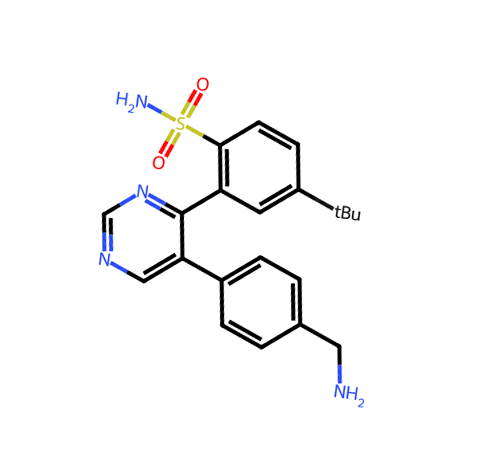 CC(C)(C)c1ccc(S(N)(=O)=O)c(-c2ncncc2-c2ccc(CN)cc2)c1